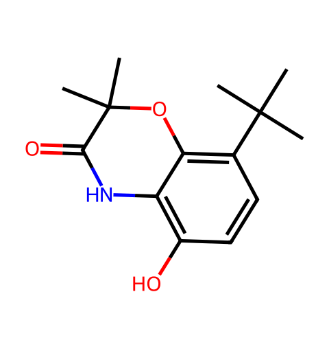 CC1(C)Oc2c(C(C)(C)C)ccc(O)c2NC1=O